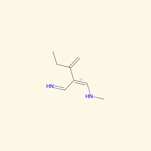 C=C(CC)/C(C=N)=C/NC